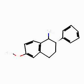 COc1ccc2c(c1)CC[C@H](c1ccccc1)[C]2N